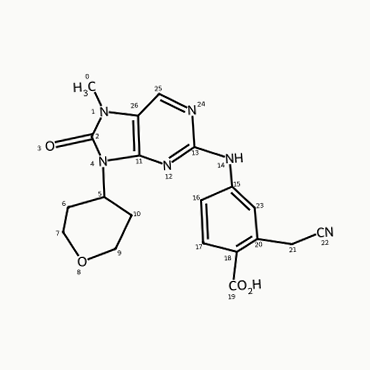 Cn1c(=O)n(C2CCOCC2)c2nc(Nc3ccc(C(=O)O)c(CC#N)c3)ncc21